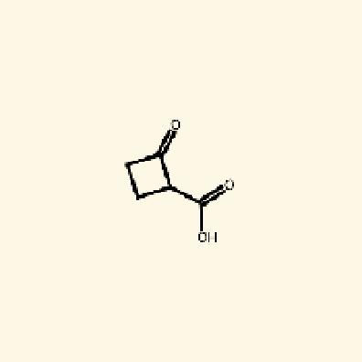 O=C(O)C1CCC1=O